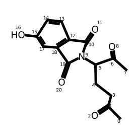 CC(=O)CCC(C(C)=O)N1C(=O)c2ccc(O)cc2C1=O